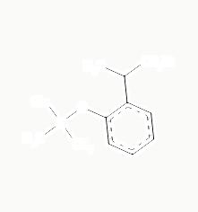 CCOC(=O)C(C)c1ccccc1O[Si](C)(C)C(C)(C)C